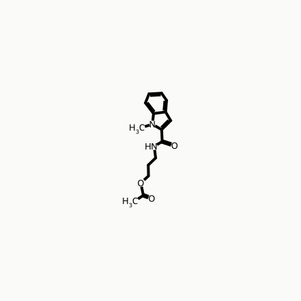 CC(=O)OCCCNC(=O)c1cc2ccccc2n1C